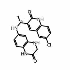 C[C@H](Nc1ccc2c(c1)NCC(=O)N2)c1cc2cc(Cl)ccc2[nH]c1=O